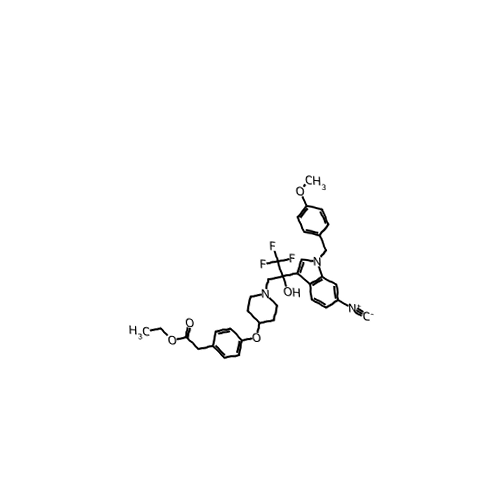 [C-]#[N+]c1ccc2c(C(O)(CN3CCC(Oc4ccc(CC(=O)OCC)cc4)CC3)C(F)(F)F)cn(Cc3ccc(OC)cc3)c2c1